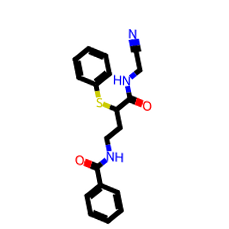 N#CCNC(=O)C(CCNC(=O)c1ccccc1)Sc1ccccc1